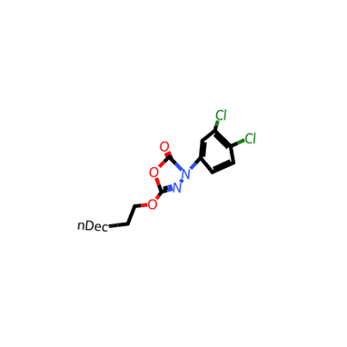 CCCCCCCCCCCCOc1nn(-c2ccc(Cl)c(Cl)c2)c(=O)o1